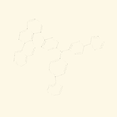 c1ccc(-c2ccc(N(c3ccc(-c4ccccc4)cc3)c3ccc(-c4cccc5ccc6c7ccccc7ccc6c45)cc3)cc2)cc1